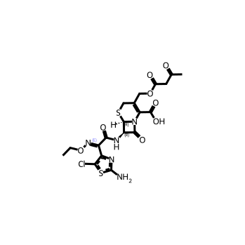 CCO/N=C(/C(=O)N[C@@H]1C(=O)N2C(C(=O)O)=C(COC(=O)CC(C)=O)CS[C@H]12)c1nc(N)sc1Cl